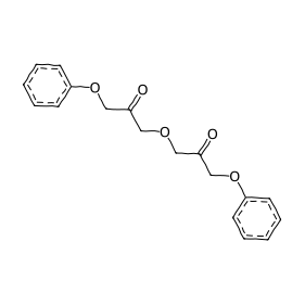 O=C(COCC(=O)COc1ccccc1)COc1ccccc1